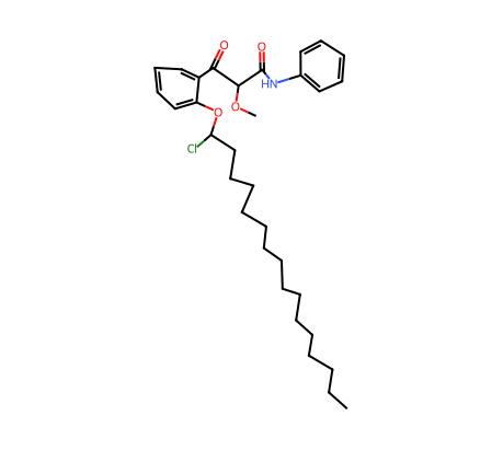 CCCCCCCCCCCCCCCC(Cl)Oc1ccccc1C(=O)C(OC)C(=O)Nc1ccccc1